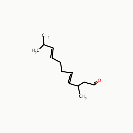 CC(C)/C=C/CC/C=C/C(C)C[C]=O